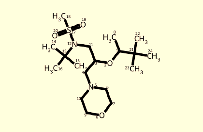 CC(OC(CN1CCOCC1)CN(C(C)(C)C)S(C)(=O)=O)C(C)(C)C